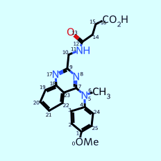 COc1ccc(N(C)c2nc(CNC(=O)CCC(=O)O)nc3ccccc23)cc1